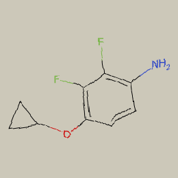 Nc1ccc(OC2CC2)c(F)c1F